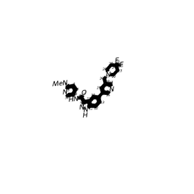 CNc1ccc(NC(=O)c2n[nH]c3ccc(-c4cncc(CN5CCC(F)(F)CC5)c4)cc23)cn1